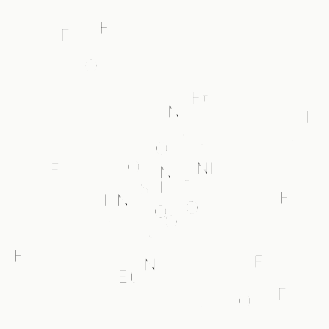 CCN(C(=O)[C@H](Cc1cc(F)cc(F)c1)NC(=O)NS(=O)(=O)N[C@@H](Cc1cc(F)cc(F)c1)C(=O)N(CC)c1ccc(OC(F)F)cc1)c1ccc(OC(F)F)cc1